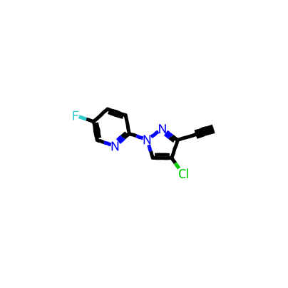 C#Cc1nn(-c2ccc(F)cn2)cc1Cl